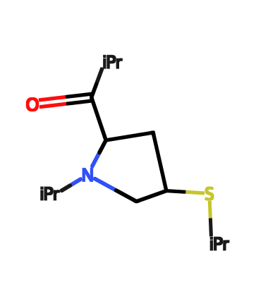 CC(C)SC1CC(C(=O)C(C)C)N(C(C)C)C1